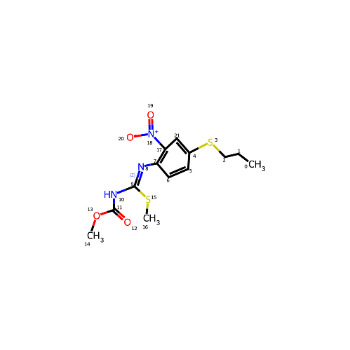 CCCSc1ccc(/N=C(/NC(=O)OC)SC)c([N+](=O)[O-])c1